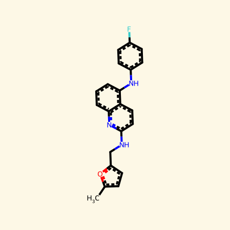 Cc1ccc(CNc2ccc3c(Nc4ccc(F)cc4)cccc3n2)o1